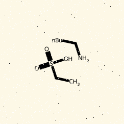 CCCCCN.CCS(=O)(=O)O